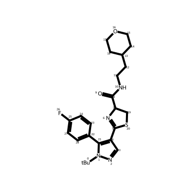 CC(C)(C)n1ncc(C2=NC(C(=O)NCCC3CCOCC3)CS2)c1-c1ccc(F)cc1